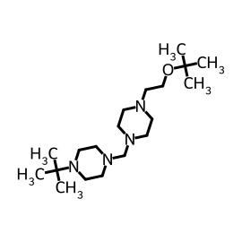 CC(C)(C)OCCN1CCN(CN2CCN(C(C)(C)C)CC2)CC1